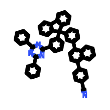 N#Cc1ccc(-c2ccc(-c3cccc(C4(c5cccc(-c6nc(-c7ccccc7)nc(-c7ccccc7)n6)c5)c5ccccc5-c5ccccc54)c3)c3ccccc23)cc1